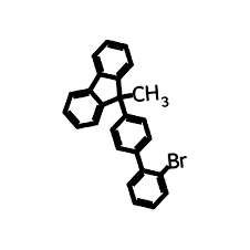 CC1(c2ccc(-c3ccccc3Br)cc2)c2ccccc2-c2ccccc21